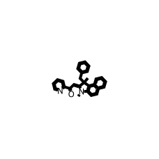 CN1/C(=C\C(=O)c2ccccn2)C(C)(Cc2ccccc2)c2c1ccc1ccccc21